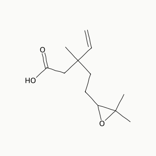 C=CC(C)(CCC1OC1(C)C)CC(=O)O